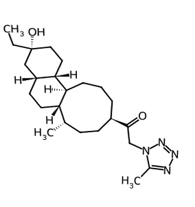 CC[C@@]1(O)CC[C@H]2[C@H](CC[C@@H]3[C@@H]2CCC[C@@H](C(=O)Cn2nnnc2C)CC[C@@H]3C)C1